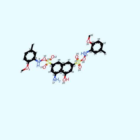 COc1ccc(C)cc1NOS(=O)(=O)c1cc(N)c2c(O)cc(S(=O)(=O)ONc3cc(C)ccc3OC)cc2c1